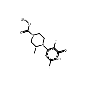 C[C@H]1CN(C(=O)OC(C)(C)C)CCN1c1nc(I)[nH]c(=O)c1Cl